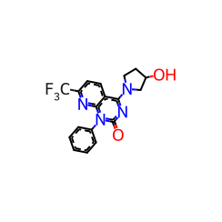 O=c1nc(N2CCC(O)C2)c2ccc(C(F)(F)F)nc2n1-c1ccccc1